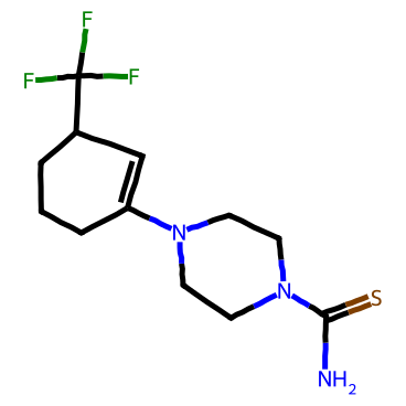 NC(=S)N1CCN(C2=CC(C(F)(F)F)CCC2)CC1